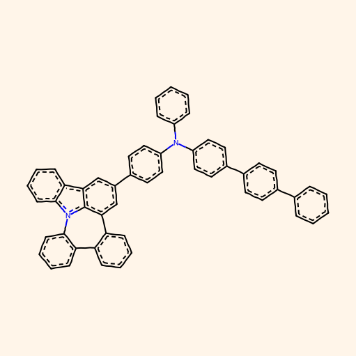 c1ccc(-c2ccc(-c3ccc(N(c4ccccc4)c4ccc(-c5cc6c7c(c5)c5ccccc5n7-c5ccccc5-c5ccccc5-6)cc4)cc3)cc2)cc1